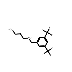 CCCCNCc1cc(C(F)(F)F)cc(C(F)(F)F)c1